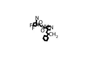 C=C(Cc1cnccc1C(=O)NCC(=O)N1CC(F)(F)CC1C#N)c1ccccc1